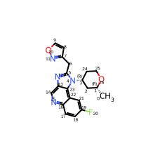 C[C@@H]1C[C@H](n2c(Cc3ccon3)nc3cnc4ccc(F)cc4c32)CCO1